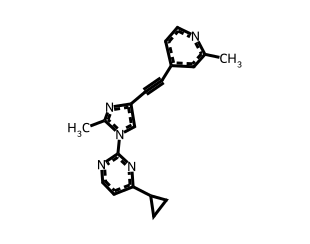 Cc1cc(C#Cc2cn(-c3nccc(C4CC4)n3)c(C)n2)ccn1